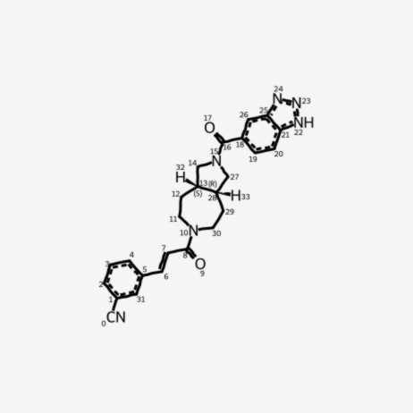 N#Cc1cccc(C=CC(=O)N2CC[C@@H]3CN(C(=O)c4ccc5[nH]nnc5c4)C[C@@H]3CC2)c1